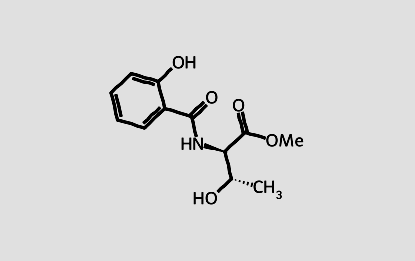 COC(=O)[C@H](NC(=O)c1ccccc1O)[C@H](C)O